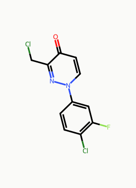 O=c1ccn(-c2ccc(Cl)c(F)c2)nc1CCl